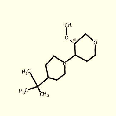 CO[C@@H]1COCCC1N1CCC(C(C)(C)C)CC1